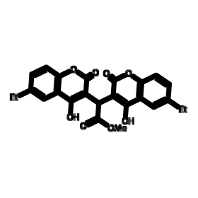 CCc1ccc2oc(=O)c(C(C(=O)OC)c3c(O)c4cc(CC)ccc4oc3=O)c(O)c2c1